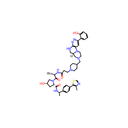 Cc1ncsc1-c1ccc(C(C)NC(=O)[C@@H]2C[C@@H](O)CN2C(=O)C(NC(=O)CCN2CCC(CN3CCN4c5cc(-c6ccccc6O)nnc5NC[C@@H]4C3)CC2)C(C)(C)C)cc1